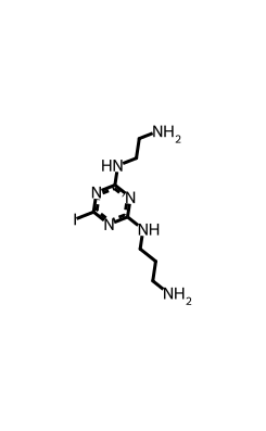 NCCCNc1nc(I)nc(NCCN)n1